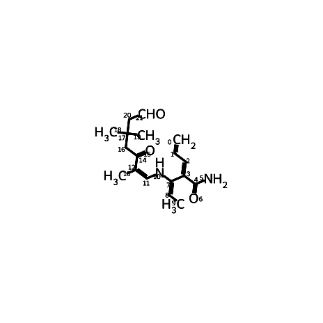 C=C/C=C(C(N)=O)\C(=C/C)N/C=C(/C)C(=O)CC(C)(C)CC=O